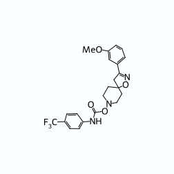 COc1cccc(C2=NOC3(CCN(OC(=O)Nc4ccc(C(F)(F)F)cc4)CC3)C2)c1